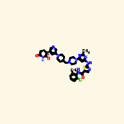 Cc1nc(Nc2ncc(C(=O)Nc3c(C)cccc3Cl)s2)cc(N2CCN(CC3CCN(c4cncc([C@@H]5CCC(=O)NC5=O)c4)CC3)CC2)n1